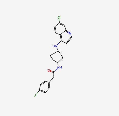 O=C(Cc1ccc(F)cc1)N[C@H]1CC[C@@H](Nc2ccnc3cc(Cl)ccc23)CC1